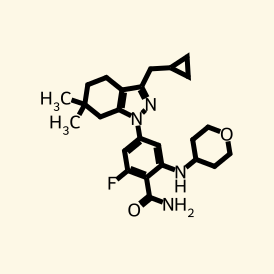 CC1(C)CCc2c(CC3CC3)nn(-c3cc(F)c(C(N)=O)c(NC4CCOCC4)c3)c2C1